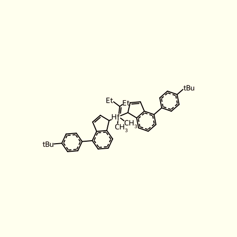 CC[C](CC)=[Hf]([CH3])([CH3])([CH]1C=Cc2c(-c3ccc(C(C)(C)C)cc3)cccc21)[CH]1C=Cc2c(-c3ccc(C(C)(C)C)cc3)cccc21